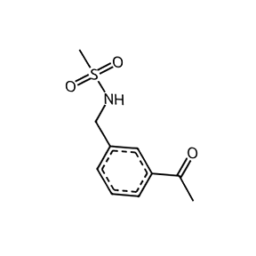 CC(=O)c1cccc(CNS(C)(=O)=O)c1